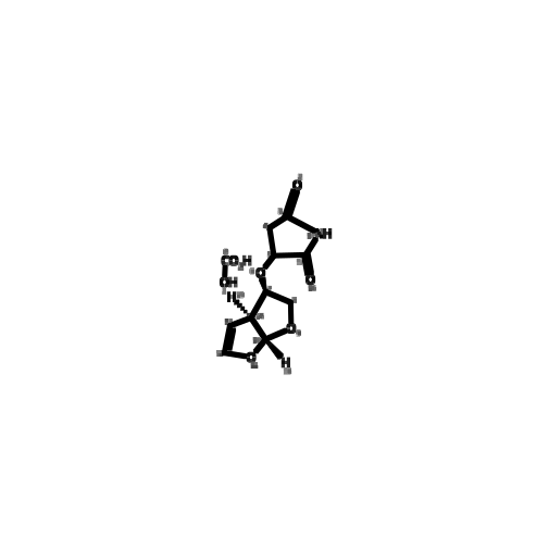 O=C(O)O.O=C1CC(O[C@H]2CO[C@@H]3OC=C[C@H]32)C(=O)N1